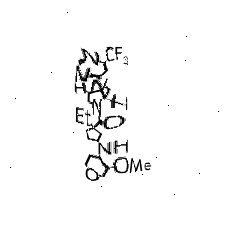 CC[C@]1(C(=O)N2C[C@@H]3C[C@H]2CN3c2cc(C(F)(F)F)ncn2)CC[C@@H](N[C@H]2CCOC[C@H]2OC)C1